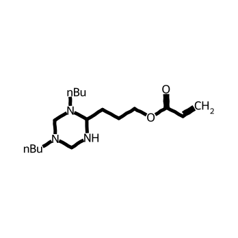 C=CC(=O)OCCCC1NCN(CCCC)CN1CCCC